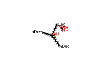 CCCCCCCCCCCCCCCCCCCC(CCCCCCCCCCCCCCCCCC)(CCCCCCCCCCCCCCCCCC)C(O)=S.OCC(O)CO